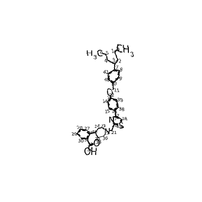 CCCC(CCC)c1ccc(COc2ccc(-c3csc(CN4CCC(c5ccccc5C(=O)O)CC4)n3)cc2)cc1